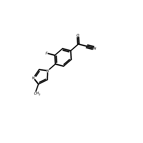 Cc1cn(-c2ccc(C(=O)C#N)cc2F)cn1